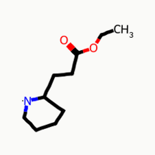 CCOC(=O)CCC1CCCC[N]1